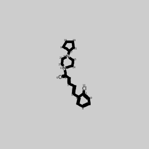 O=C(/C=C/C=C/c1ccccc1Cl)N1CCN(C2CCCC2)CC1